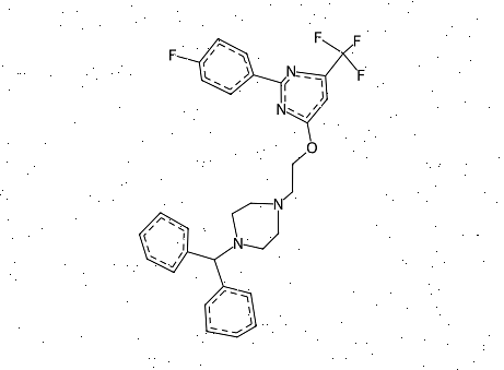 Fc1ccc(-c2nc(OCCN3CCN(C(c4ccccc4)c4ccccc4)CC3)cc(C(F)(F)F)n2)cc1